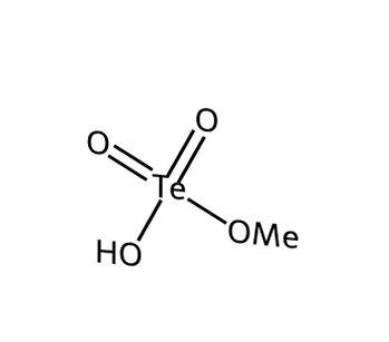 CO[Te](=O)(=O)O